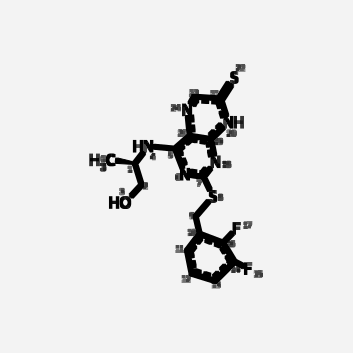 C[C@H](CO)Nc1nc(SCc2cccc(F)c2F)nc2[nH]c(=S)cnc12